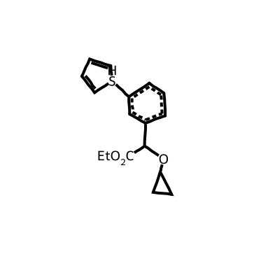 CCOC(=O)C(OC1CC1)c1cccc([SH]2C=CC=C2)c1